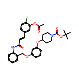 CC(=O)Oc1cc(C=CC(=O)Nc2ccccc2COc2cccc(OC3CCN(C(=O)OC(C)(C)C)CC3)c2)ccc1Cl